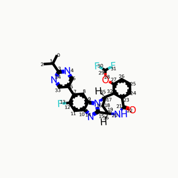 C[C](C)c1ncc(-c2cc3c(cc2F)nc2n3[C@@H]3C[C@H]2NC(=O)c2cccc(OC(F)F)c23)cn1